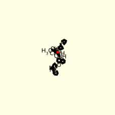 CC(C)(C)c1cc(NC(=O)N[C@H]2CC[C@@H](Oc3ccc4nnc(N5CCCCC5)n4c3)c3ccccc32)n(-c2cccc(CN3CCCCC3)c2)n1